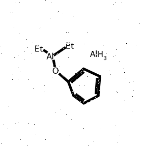 C[CH2][Al]([CH2]C)[O]c1ccccc1.[AlH3]